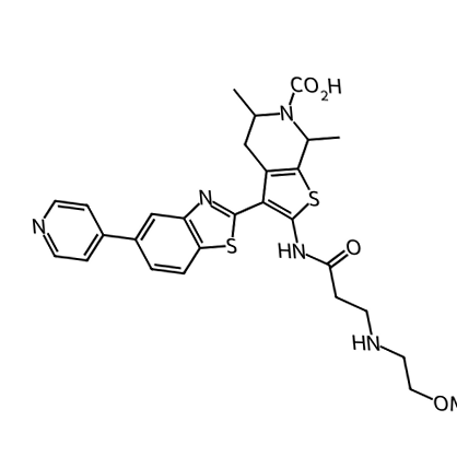 COCCNCCC(=O)Nc1sc2c(c1-c1nc3cc(-c4ccncc4)ccc3s1)CC(C)N(C(=O)O)C2C